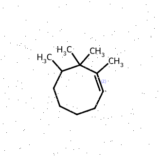 C/C1=[C]/CCCCC(C)C1(C)C